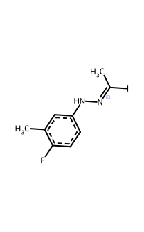 C/C(I)=N\Nc1ccc(F)c(C)c1